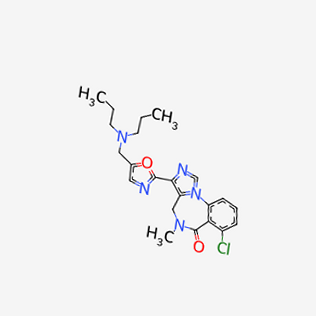 CCCN(CCC)Cc1cnc(-c2ncn3c2CN(C)C(=O)c2c(Cl)cccc2-3)o1